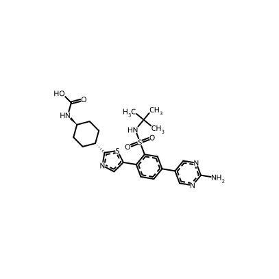 CC(C)(C)NS(=O)(=O)c1cc(-c2cnc(N)nc2)ccc1-c1cnc([C@H]2CC[C@H](NC(=O)O)CC2)s1